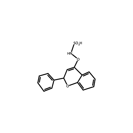 O=S(=O)(O)NOC1=CC(c2ccccc2)Oc2ccccc21